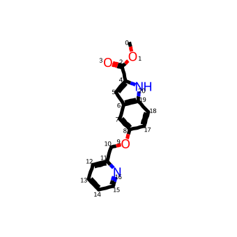 COC(=O)c1cc2cc(OCc3ccccn3)ccc2[nH]1